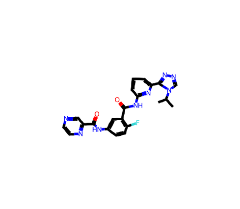 CC(C)n1cnnc1-c1cccc(NC(=O)c2cc(NC(=O)c3cnccn3)ccc2F)n1